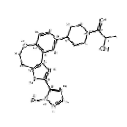 CC(O)C(=O)N1CCC(c2ccc3c(c2)-c2nc(-c4ncnn4C(C)C)sc2CCO3)CC1